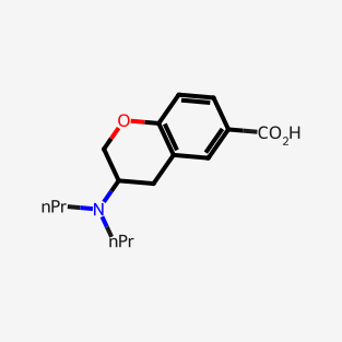 CCCN(CCC)C1COc2ccc(C(=O)O)cc2C1